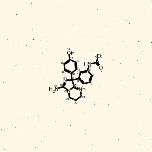 CCC(=O)Nc1cccc(C2(c3ccc(O)cc3)N=C(N)N3CCCN=C32)c1